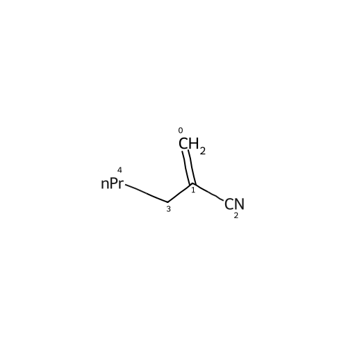 C=C(C#N)CCCC